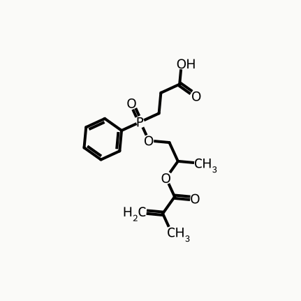 C=C(C)C(=O)OC(C)COP(=O)(CCC(=O)O)c1ccccc1